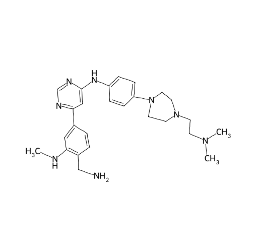 CNc1cc(-c2cc(Nc3ccc(N4CCN(CCN(C)C)CC4)cc3)ncn2)ccc1CN